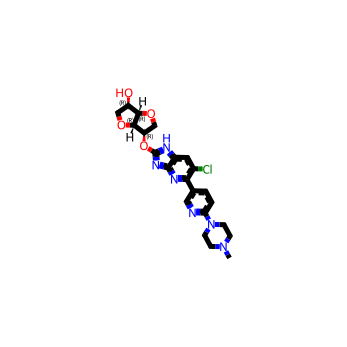 CN1CCN(c2ccc(-c3nc4nc(O[C@@H]5CO[C@H]6[C@@H]5OC[C@H]6O)[nH]c4cc3Cl)cn2)CC1